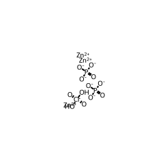 O=P([O-])([O-])[O-].O=P([O-])([O-])[O-].[O]=[Cr](=[O])([OH])[OH].[Zn+2].[Zn+2].[Zn+2]